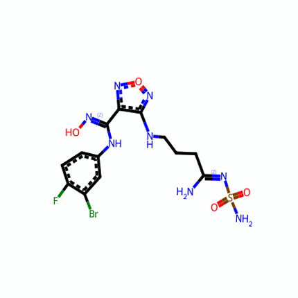 N/C(CCCNc1nonc1/C(=N/O)Nc1ccc(F)c(Br)c1)=N\S(N)(=O)=O